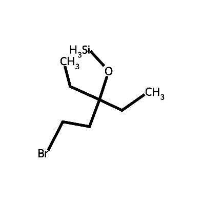 CCC(CC)(CCBr)O[SiH3]